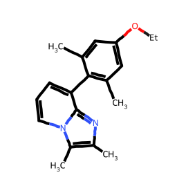 CCOc1cc(C)c(-c2cccn3c(C)c(C)nc23)c(C)c1